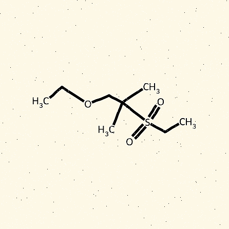 CCOCC(C)(C)S(=O)(=O)CC